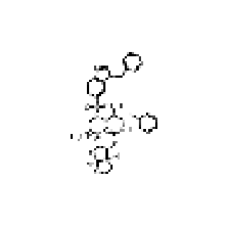 CC(C)CN(C[C@@H](O)[C@H](Cc1ccccc1)NC(=O)O[C@H]1CO[C@H]2OCC[C@H]21)S(=O)(=O)c1ccc2ncn(Cc3ccccc3)c2c1